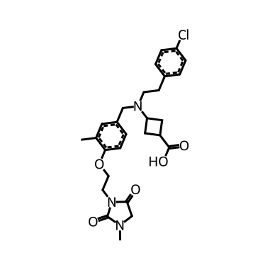 Cc1cc(CN(CCc2ccc(Cl)cc2)C2CC(C(=O)O)C2)ccc1OCCN1C(=O)CN(C)C1=O